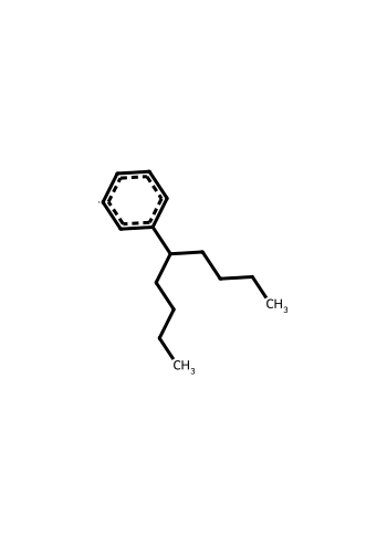 CCCCC(CCCC)c1c[c]ccc1